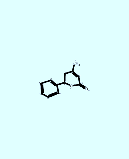 CC1=CC(=O)OC(c2ccccc2)C1